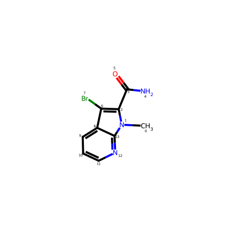 Cn1c(C(N)=O)c(Br)c2cccnc21